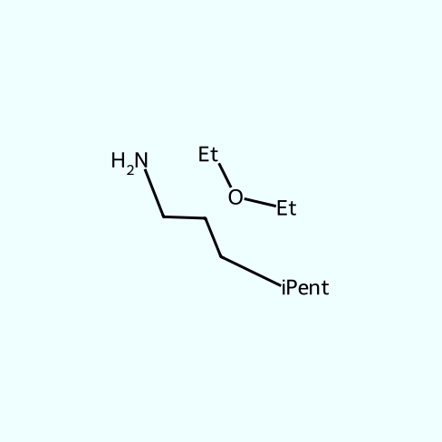 CCCC(C)CCCN.CCOCC